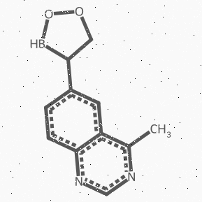 Cc1ncnc2ccc(C3BOOC3)cc12